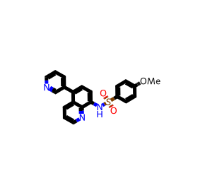 COc1ccc(S(=O)(=O)Nc2ccc(-c3cccnc3)c3cccnc23)cc1